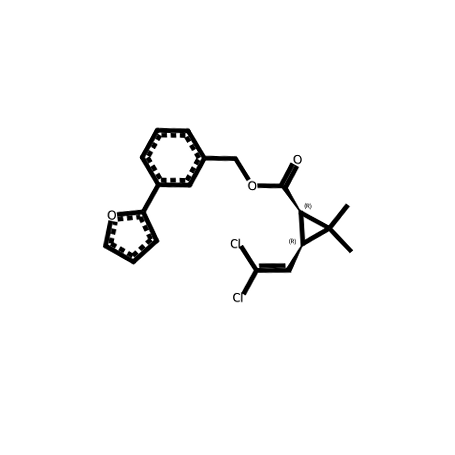 CC1(C)[C@H](C(=O)OCc2cccc(-c3ccco3)c2)[C@@H]1C=C(Cl)Cl